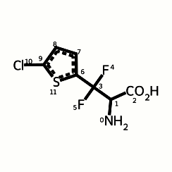 NC(C(=O)O)C(F)(F)c1ccc(Cl)s1